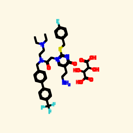 CCN(CC)CCN(Cc1ccc(-c2ccc(C(F)(F)F)cc2)cc1)C(=O)Cn1cc(CCN)c(=O)nc1SCc1ccc(F)cc1.O=C(O)C(O)C(O)C(=O)O